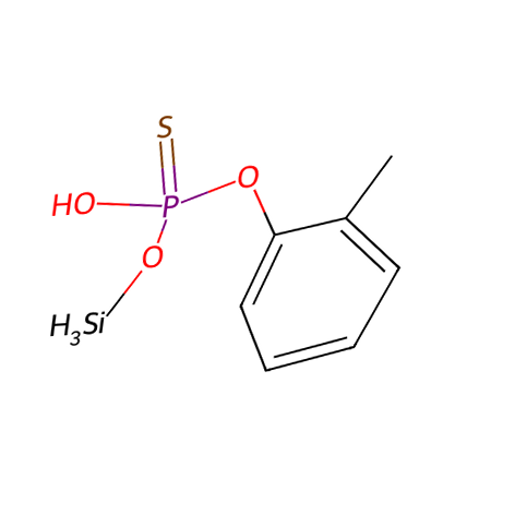 Cc1ccccc1OP(O)(=S)O[SiH3]